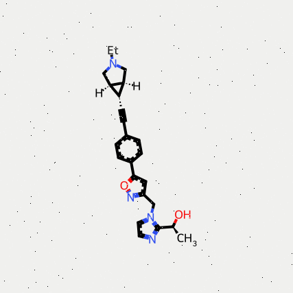 CCN1C[C@@H]2[C@@H](C#Cc3ccc(-c4cc(Cn5ccnc5[C@H](C)O)no4)cc3)[C@@H]2C1